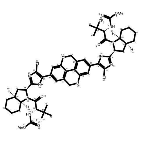 COC(=O)N[C@H](C(=O)N1[C@H](c2nc(Cl)c(-c3cc4c5c(c3)OCc3cc(-c6[nH]c([C@@H]7C[C@@H]8CCCC[C@@H]8N7C(=O)[C@@H](NC(=O)OC)C(C)(C)C(F)(F)F)nc6Cl)cc(c3-5)OC4)[nH]2)C[C@@H]2CCCC[C@@H]21)C(C)(C)C(F)(F)F